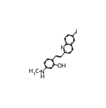 CNc1ccc(C=Cc2ccc3cc(I)ccc3n2)c(O)c1